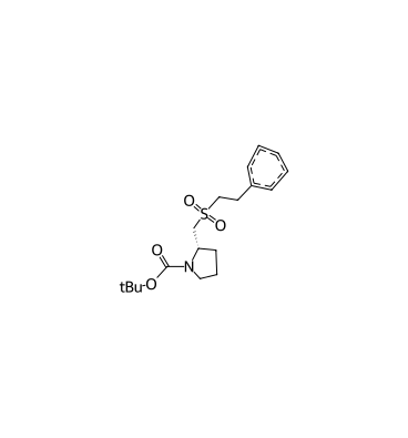 CC(C)(C)OC(=O)N1CCC[C@H]1CS(=O)(=O)CCc1ccccc1